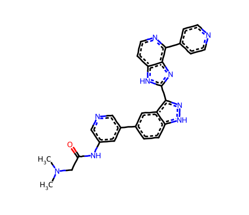 CN(C)CC(=O)Nc1cncc(-c2ccc3[nH]nc(-c4nc5c(-c6ccncc6)nccc5[nH]4)c3c2)c1